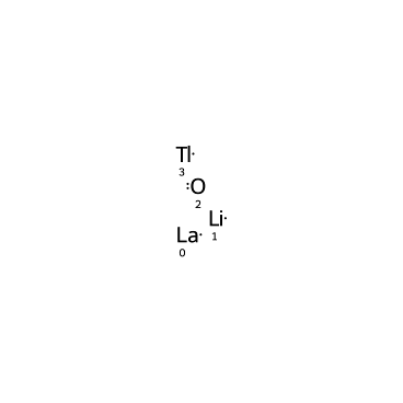 [La].[Li].[O].[Tl]